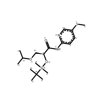 CSc1ccc(NC(=O)[C@H](COC(C)C)O[Si](C)(C)C(C)(C)C)nc1